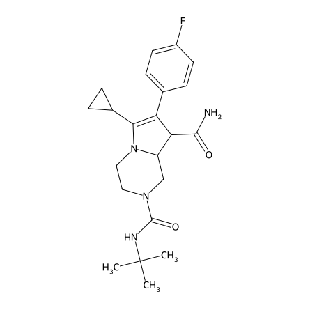 CC(C)(C)NC(=O)N1CCN2C(C3CC3)=C(c3ccc(F)cc3)C(C(N)=O)C2C1